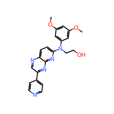 COc1cc(OC)cc(N(CCO)c2ccc3ncc(-c4ccncc4)nc3n2)c1